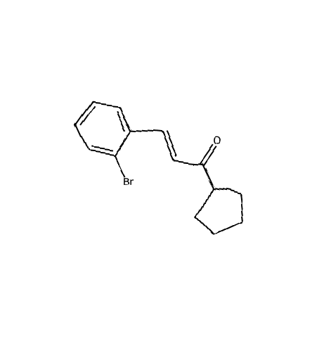 O=C(C=Cc1ccccc1Br)C1CCCC1